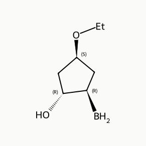 B[C@@H]1C[C@H](OCC)C[C@H]1O